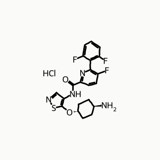 Cl.N[C@H]1CC[C@H](Oc2sncc2NC(=O)c2ccc(F)c(-c3c(F)cccc3F)n2)CC1